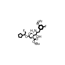 CCCOc1cc(F)cc(C[C@H](N)[C@H](O)[C@H]2CO[C@H](OC(CF)C3CCCC3)CN2C(=O)OC(C)(C)C)c1